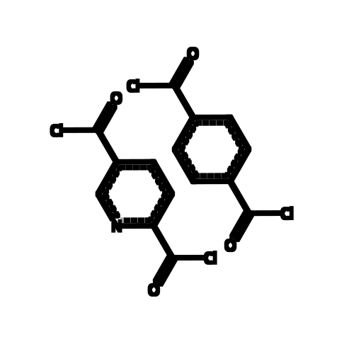 O=C(Cl)c1ccc(C(=O)Cl)cc1.O=C(Cl)c1ccc(C(=O)Cl)nc1